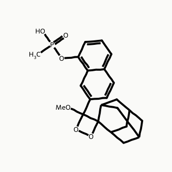 COC1(c2ccc3cccc(OP(C)(=O)O)c3c2)OOC12C1CC3CC(C1)CC2C3